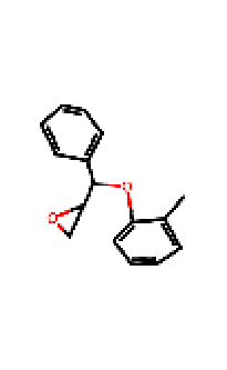 Cc1ccccc1OC(c1ccccc1)C1CO1